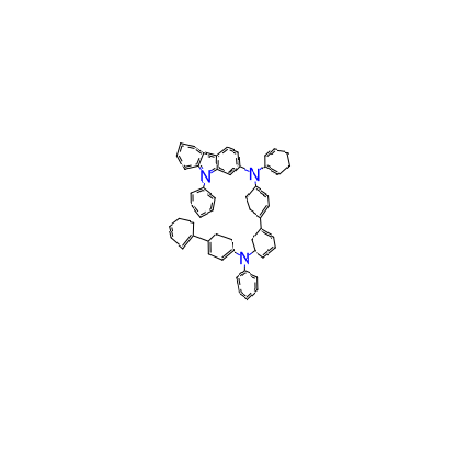 C1=CCCC(C2=CC=C(N(c3ccccc3)C3C=CC=C(C4=CC=C(N(C5=CCCC=C5)c5ccc6c7ccccc7n(-c7ccccc7)c6c5)CC4)C3)CC2)=C1